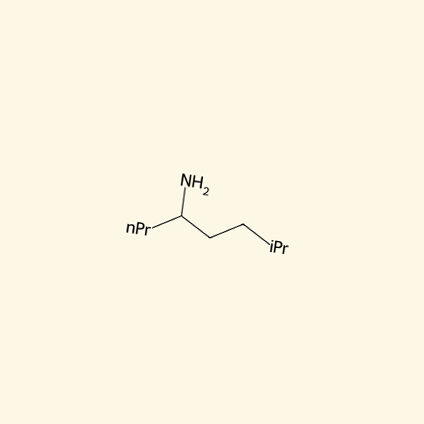 CCCC(N)CCC(C)C